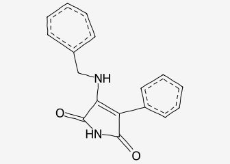 O=C1NC(=O)C(c2ccccc2)=C1NCc1ccccc1